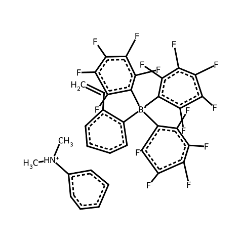 C=Cc1ccccc1[B-](c1c(F)c(F)c(F)c(F)c1F)(c1c(F)c(F)c(F)c(F)c1F)c1c(F)c(F)c(F)c(F)c1F.C[NH+](C)c1ccccc1